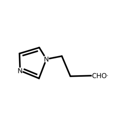 O=[C]CCn1ccnc1